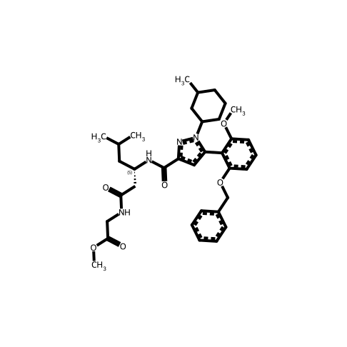 COC(=O)CNC(=O)C[C@H](CC(C)C)NC(=O)c1cc(-c2c(OC)cccc2OCc2ccccc2)n(C2CCCC(C)C2)n1